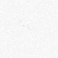 CCOC(=O)Cn1ccc2ccc(C#CCc3ccccc3)cc2c1=O